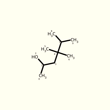 CC(O)CC(C)(C)C(C)C